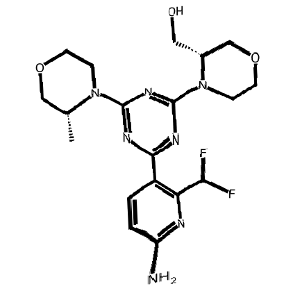 C[C@@H]1COCCN1c1nc(-c2ccc(N)nc2C(F)F)nc(N2CCOC[C@H]2CO)n1